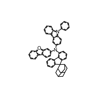 c1ccc(-n2c3ccccc3c3cc(N(c4ccc5c(c4)oc4ccccc45)c4cccc5c4-c4ccccc4C54C5CC6CC(C5)CC4C6)ccc32)cc1